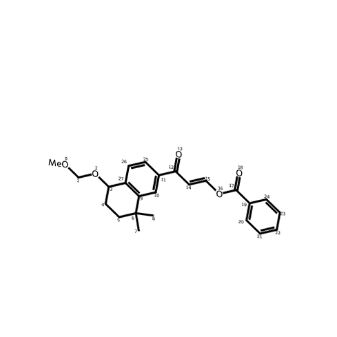 COCOC1CCC(C)(C)c2cc(C(=O)C=COC(=O)c3ccccc3)ccc21